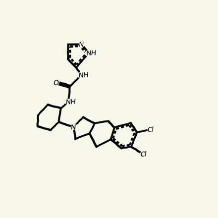 O=C(Nc1ccn[nH]1)NC1CCCCC1N1CC2Cc3cc(Cl)c(Cl)cc3CC2C1